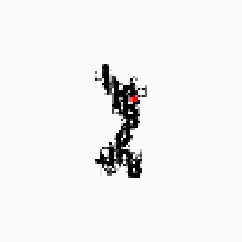 C=CC(=O)N1C[C@@H](C)N(c2nc(=O)n(-c3c(C)cc(/C=C\C(=O)N4CCN(c5nc(=O)n(-c6scnc6C(C)C)c6nc(-c7ccccc7F)c(Cl)cc56)[C@@H](C)C4)nc3C(C)C)c3nc(Cl)c(Cl)cc23)[C@@H](C)C1